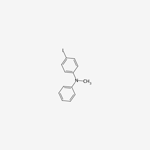 CN(c1ccccc1)c1ccc(I)cc1